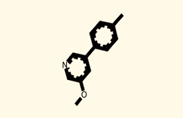 COc1cncc(-c2ccc(C)cc2)c1